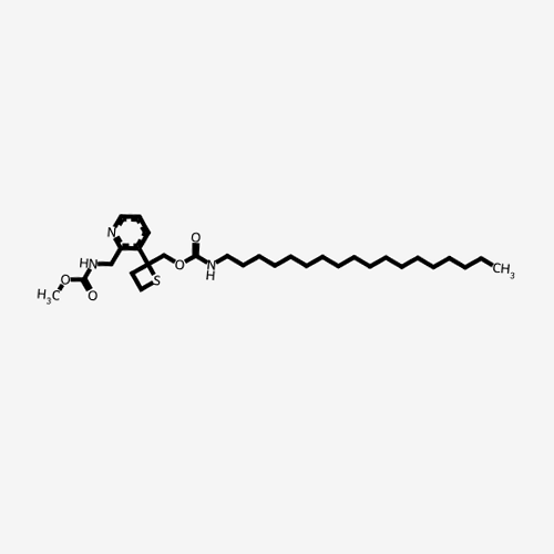 CCCCCCCCCCCCCCCCCCNC(=O)OCC1(c2cccnc2CNC(=O)OC)CCS1